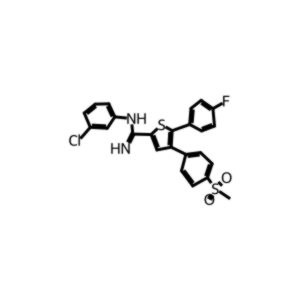 CS(=O)(=O)c1ccc(-c2cc(C(=N)Nc3cccc(Cl)c3)sc2-c2ccc(F)cc2)cc1